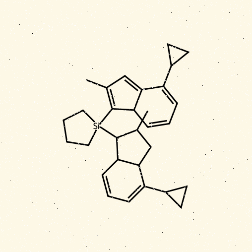 CC1=C([Si]2(C3C(C)CC4C(C5CC5)=CC=CC43)CCCC2)C2C=CC=C(C3CC3)C2=C1